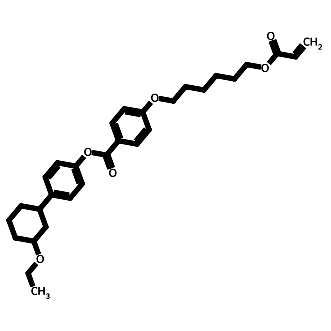 C=CC(=O)OCCCCCCOc1ccc(C(=O)Oc2ccc(C3CCCC(OCC)C3)cc2)cc1